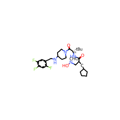 CC(C)(C)[C@H](NC(=O)C(CC1CCCC1)CN(O)C=O)C(=O)N1CCC(NCc2cc(F)c(F)cc2F)CC1